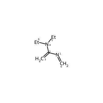 C=NC(=C)N(CC)CC